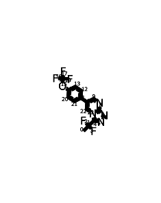 CC(F)(F)c1nnc2ncc(-c3ccc(OC(F)(F)F)cc3)cn12